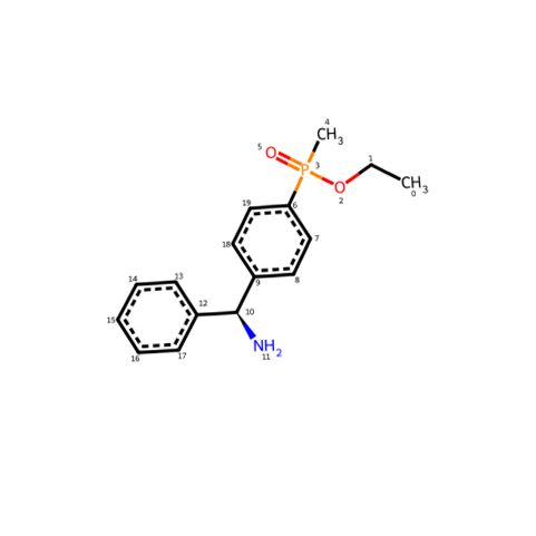 CCOP(C)(=O)c1ccc([C@@H](N)c2ccccc2)cc1